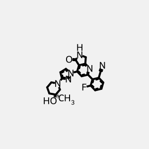 C[C@]1(O)CCCN(c2ccn(-c3cc(-c4c(F)cccc4C#N)nc4c3C(=O)NC4)n2)C1